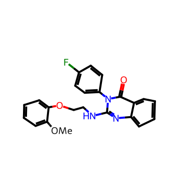 COc1ccccc1OCCNc1nc2ccccc2c(=O)n1-c1ccc(F)cc1